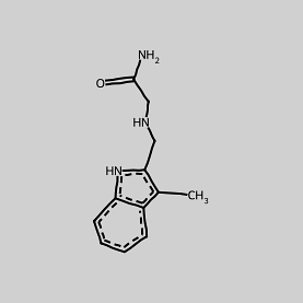 Cc1c(CNCC(N)=O)[nH]c2ccccc12